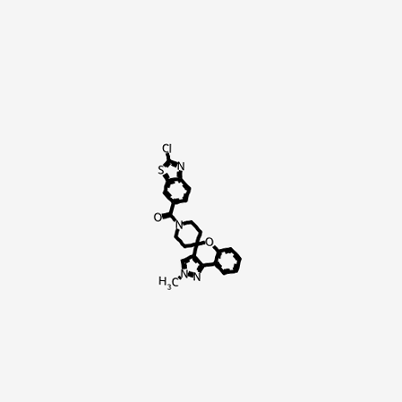 Cn1cc2c(n1)-c1ccccc1OC21CCN(C(=O)c2ccc3nc(Cl)sc3c2)CC1